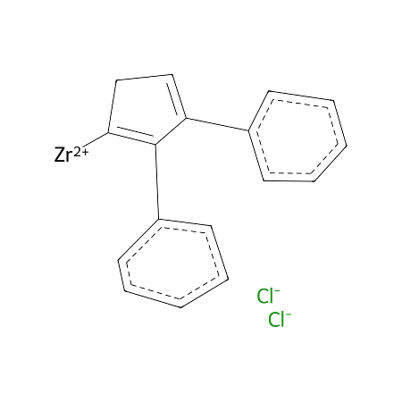 [Cl-].[Cl-].[Zr+2][C]1=C(c2ccccc2)C(c2ccccc2)=CC1